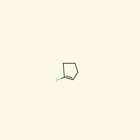 FC1=CCC[CH]1